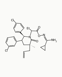 C=CC[C@@]1(C)CC(c2cccc(Cl)c2)[C@@H](c2ccc(Cl)cc2)N(C(CC)C(=O)O/N=C(/N)C2CC2)C1=O